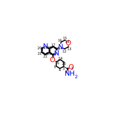 NC(=O)[C@H]1CC[C@@H](Oc2nc(N3CCOCC3)cc3ncccc23)CC1